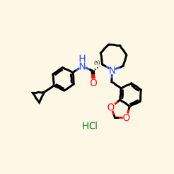 Cl.O=C(Nc1ccc(C2CC2)cc1)[C@@H]1CCCCCN1Cc1cccc2c1OCO2